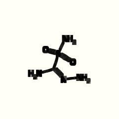 NN=C(N)S(N)(=O)=O